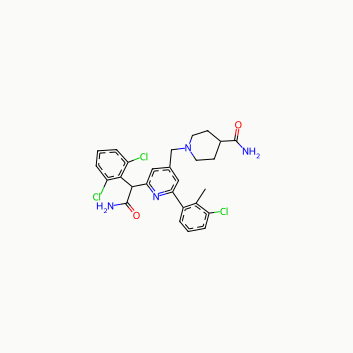 Cc1c(Cl)cccc1-c1cc(CN2CCC(C(N)=O)CC2)cc(C(C(N)=O)c2c(Cl)cccc2Cl)n1